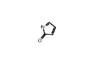 O=C1C=CC=[N+]1